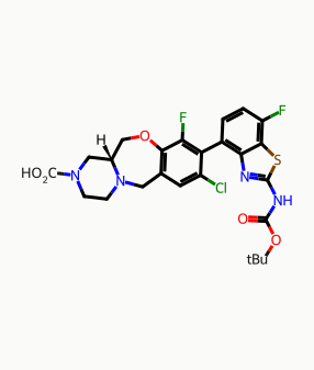 CC(C)(C)OC(=O)Nc1nc2c(-c3c(Cl)cc4c(c3F)OC[C@H]3CN(C(=O)O)CCN3C4)ccc(F)c2s1